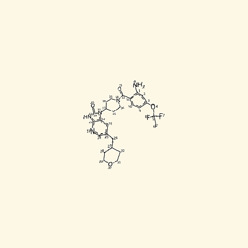 Nc1cc(OC(F)(F)F)ccc1C(=O)N1CCC(n2c(=O)[nH]c3ncc(CC4CCOCC4)cc32)CC1